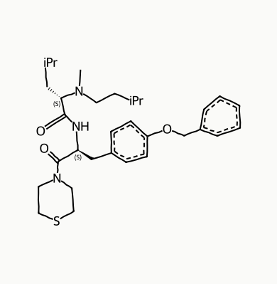 CC(C)CCN(C)[C@@H](CC(C)C)C(=O)N[C@@H](Cc1ccc(OCc2ccccc2)cc1)C(=O)N1CCSCC1